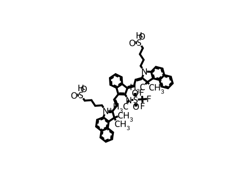 CN(C1=C(/C=C/C2=[N+](CCCC[SH](=O)=O)c3ccc4ccccc4c3C2(C)C)c2ccccc2/C1=C\C=C1\N(CCCC[SH](=O)=O)c2ccc3ccccc3c2C1(C)C)S(=O)(=O)C(F)(F)F